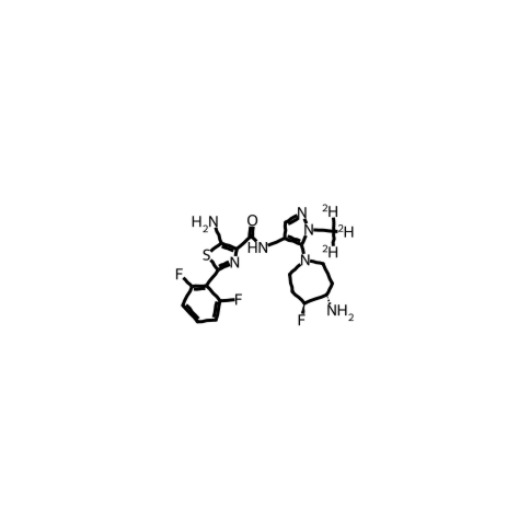 [2H]C([2H])([2H])n1ncc(NC(=O)c2nc(-c3c(F)cccc3F)sc2N)c1N1CC[C@H](N)[C@@H](F)CC1